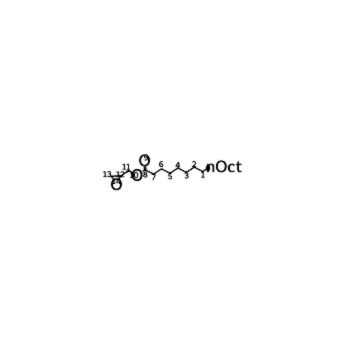 CCCCCCCCCCCCCCCC(=O)OC[C@@H]1CO1